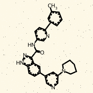 Cc1cccc(-c2ccc(NC(=O)c3n[nH]c4ccc(-c5cncc(N6CCCCC6)c5)cc34)cn2)c1